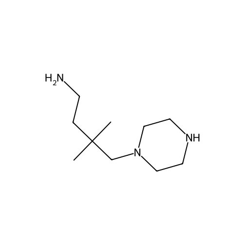 CC(C)(CCN)CN1CCNCC1